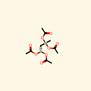 CC(=O)O[SiH](C[Si](C)(OC(C)=O)OC(C)=O)OC(C)=O